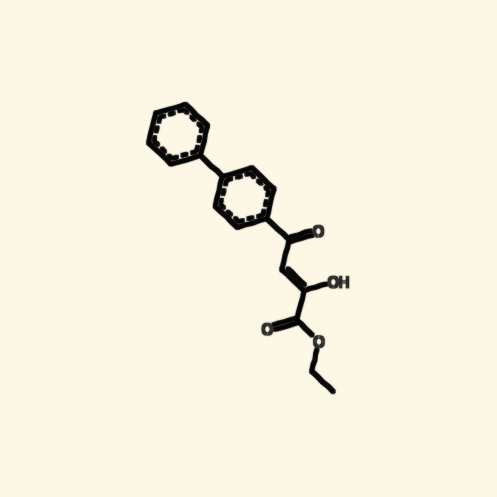 CCOC(=O)C(O)=CC(=O)c1ccc(-c2ccccc2)cc1